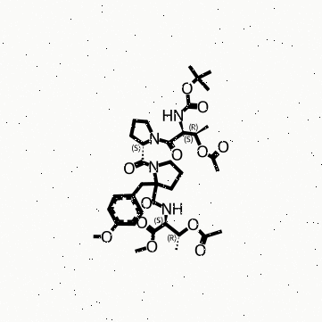 COC(=O)[C@@H](NC(=O)C1(Cc2ccc(OC)cc2)CCCN1C(=O)[C@@H]1CCCN1C(=O)[C@@H](NC(=O)OC(C)(C)C)[C@@H](C)OC(C)=O)[C@@H](C)OC(C)=O